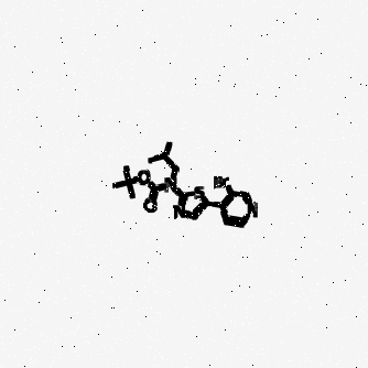 CC(C)CN(C(=O)OC(C)(C)C)c1ncc(-c2ccncc2Br)s1